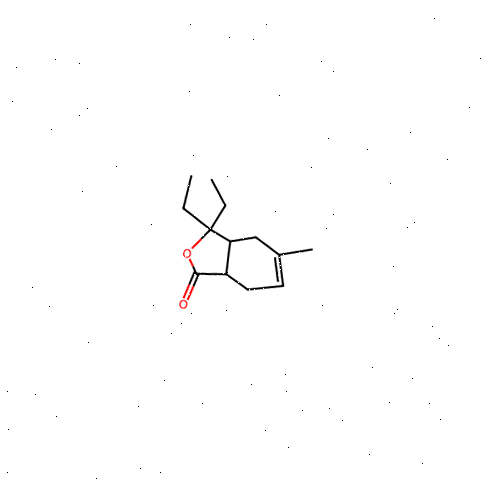 CCC1(CC)OC(=O)C2CC=C(C)CC21